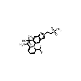 CC(C)(O)c1cc2nn(CCS(C)(=O)=O)cc2cc1N1C(C(N)=O)=CC=CC1C(F)F